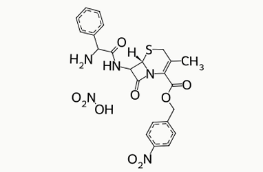 CC1=C(C(=O)OCc2ccc([N+](=O)[O-])cc2)N2C(=O)C(NC(=O)C(N)c3ccccc3)[C@@H]2SC1.O=[N+]([O-])O